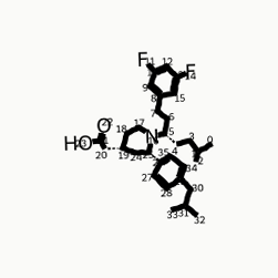 CC(C)CC[C@@H](CCc1cc(F)cc(F)c1)N1CC[C@@H](CC(=O)O)C[C@H]1c1ccc(CC(C)C)cc1